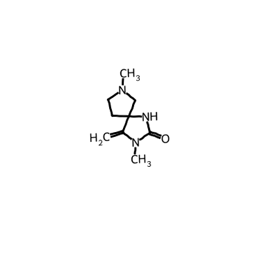 C=C1N(C)C(=O)NC12CCN(C)C2